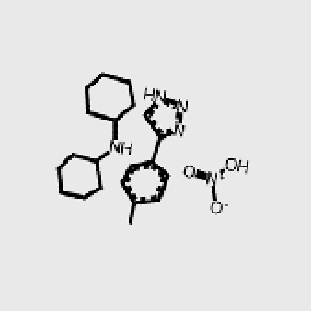 C1CCC(NC2CCCCC2)CC1.Cc1ccc(-c2c[nH]nn2)cc1.O=[N+]([O-])O